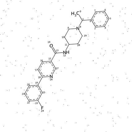 CC(c1ccccc1)N1CCC(NC(=O)c2ccc(-c3cccc(F)c3)nc2)CC1